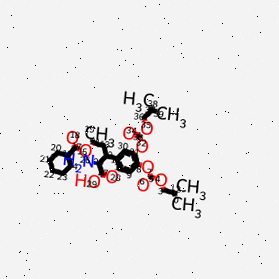 CC(C)COC(=O)Oc1ccc(C(CC(C)OC(=O)C2CCCCC2)[C@H](N)C(=O)O)cc1OC(=O)OCC(C)C